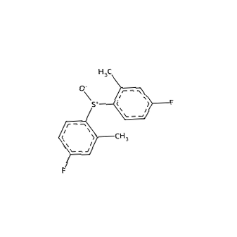 Cc1cc(F)ccc1[S+]([O-])c1ccc(F)cc1C